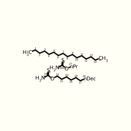 CCCCCCCCCCCCCCCC.CCCCCCCCCCCCCCCCOC(N)=S.CCCOC(N)=S